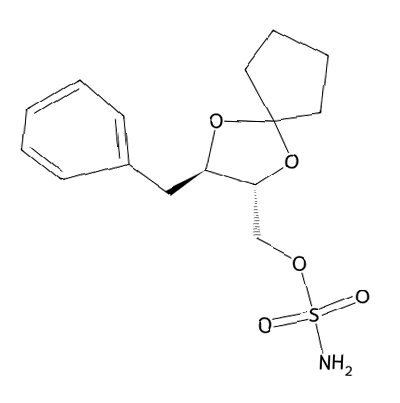 NS(=O)(=O)OC[C@H]1OC2(CCCC2)O[C@@H]1Cc1ccccc1